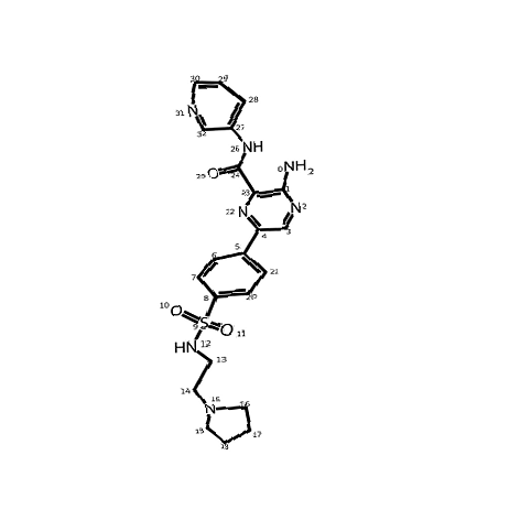 Nc1ncc(-c2ccc(S(=O)(=O)NCCN3CCCC3)cc2)nc1C(=O)Nc1cccnc1